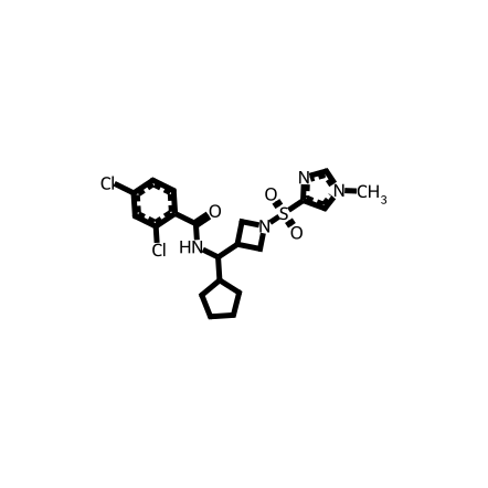 Cn1cnc(S(=O)(=O)N2CC(C(NC(=O)c3ccc(Cl)cc3Cl)C3CCCC3)C2)c1